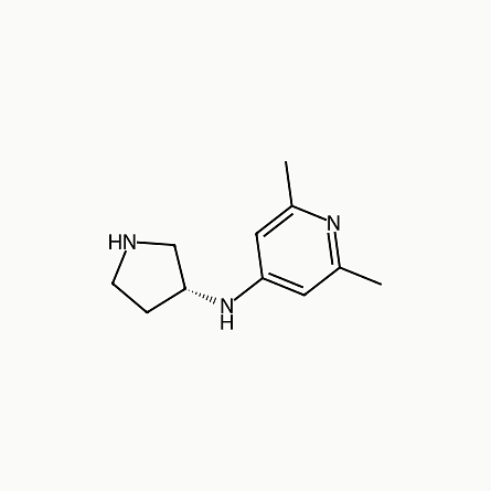 Cc1cc(N[C@@H]2CCNC2)cc(C)n1